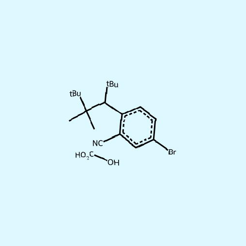 CC(C)(C)C(c1ccc(Br)cc1C#N)C(C)(C)C(C)(C)C.O=C(O)O